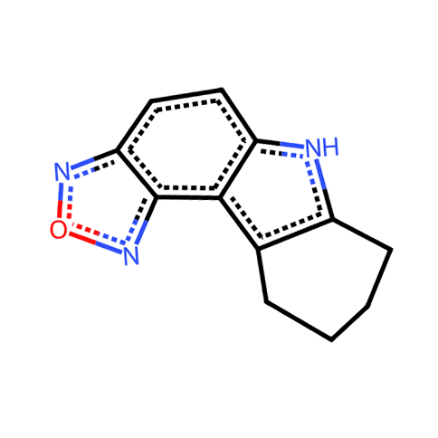 c1cc2[nH]c3c(c2c2nonc12)CCCC3